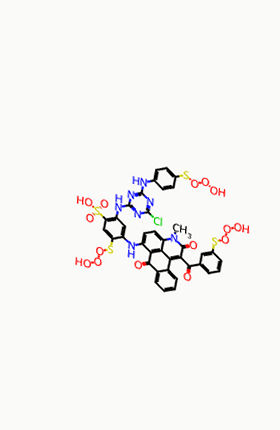 Cn1c(=O)c(C(=O)c2cccc(SOOO)c2)c2c3c(c(Nc4cc(Nc5nc(Cl)nc(Nc6ccc(SOOO)cc6)n5)c(S(=O)(=O)O)cc4SOOO)ccc31)C(=O)c1ccccc1-2